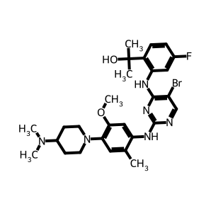 COc1cc(Nc2ncc(Br)c(Nc3cc(F)ccc3C(C)(C)O)n2)c(C)cc1N1CCC(N(C)C)CC1